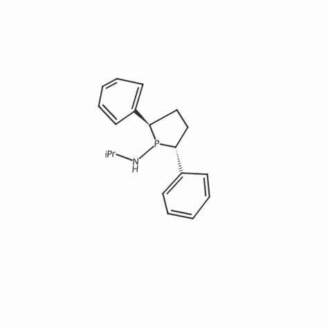 CC(C)NP1[C@@H](c2ccccc2)CC[C@@H]1c1ccccc1